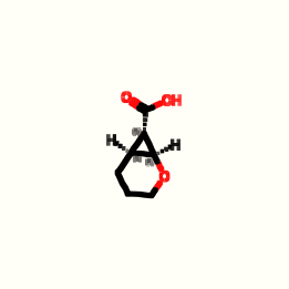 O=C(O)[C@H]1[C@@H]2CCCO[C@@H]21